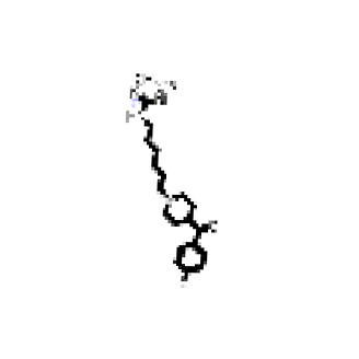 C/N=C(\NC#N)NCCCCCCN1CCC(C(=O)c2ccc(F)cc2)CC1